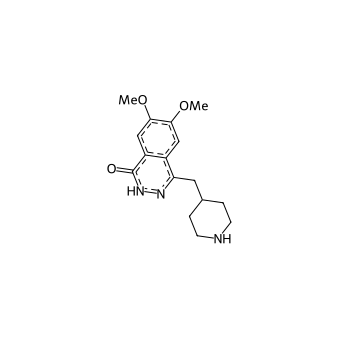 COc1cc2c(CC3CCNCC3)n[nH]c(=O)c2cc1OC